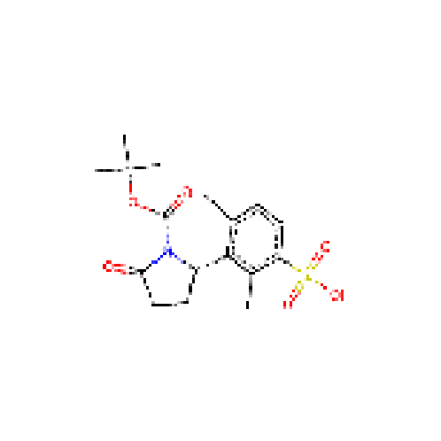 Cc1ccc(S(=O)(=O)O)c(C)c1[C@@H]1CCC(=O)N1C(=O)OC(C)(C)C